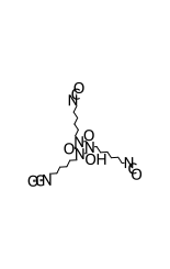 O=C=NCCCCCCN1C(=O)N(CCCCCCN=C=O)C(O)N(CCCCCCN=C=O)C1=O